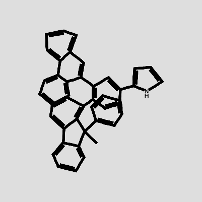 CC1(c2ccccc2)c2ccccc2-c2cccc(-c3ccc(-c4ccc[nH]4)cc3-c3cc4ccccc4c4ccccc34)c21